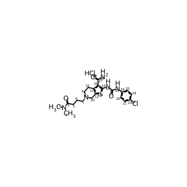 CN(C)C(=O)CCCN1CCc2c(sc(NC(=O)Nc3ccc(Cl)cc3)c2C(N)=O)C1.Cl